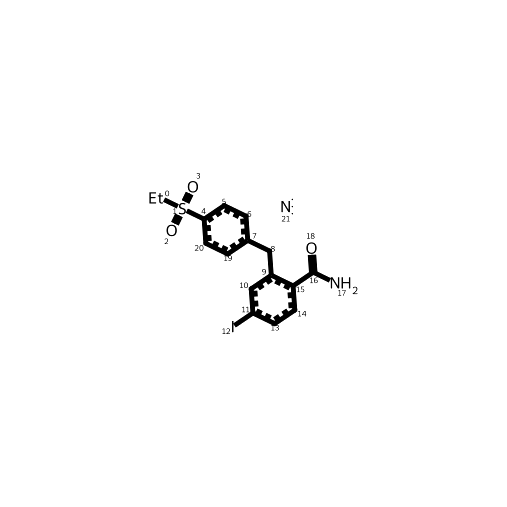 CCS(=O)(=O)c1ccc(Cc2cc(I)ccc2C(N)=O)cc1.[N]